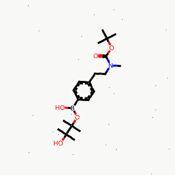 CN(CCc1ccc(B(O)OC(C)(C)C(C)(C)O)cc1)C(=O)OC(C)(C)C